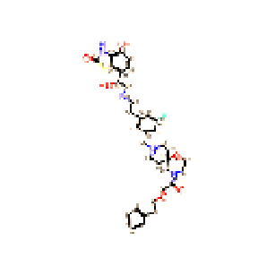 O=C(COCCc1ccccc1)N1CCOC2(CCN(Cc3cc(F)cc(CCNCC(O)c4ccc(O)c5[nH]c(=O)sc45)c3)CC2)C1